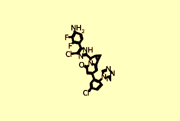 Nc1ccc(-c2[nH]c(C3C4CC4c4cc(-c5cc(Cl)ccc5-n5cnnn5)cc(=O)n43)nc2Cl)c(F)c1F